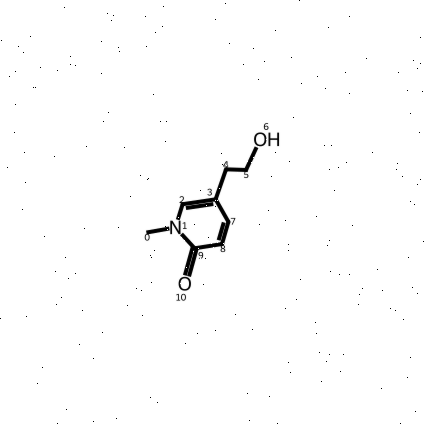 Cn1cc(CCO)ccc1=O